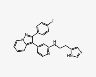 Fc1ccc(-c2nn3ccccc3c2-c2ccnc(NCCc3cnc[nH]3)c2)cc1